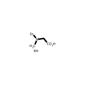 CCN(C)CC(=O)O.[KH]